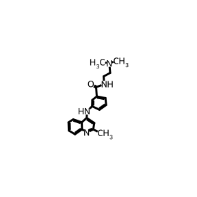 Cc1cc(Nc2cccc(C(=O)NCCN(C)C)c2)c2ccccc2n1